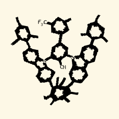 Cc1cc(-c2cc(-n3c4cc(-c5c(C)cc(C)cc5C)ccc4c4ccc(-c5c(C)cc(C)cc5C)cc43)c(C#N)c(-n3c4cc(-c5c(C)cc(C)cc5C)ccc4c4ccc(-c5c(C)cc(C)cc5C)cc43)c2)cc(C(F)(F)F)c1